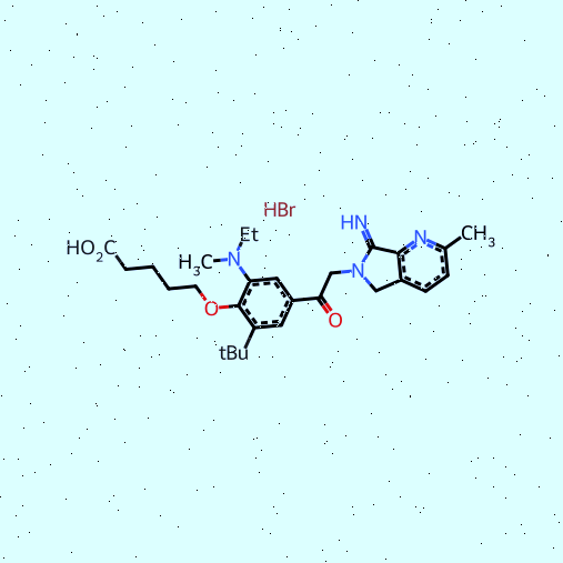 Br.CCN(C)c1cc(C(=O)CN2Cc3ccc(C)nc3C2=N)cc(C(C)(C)C)c1OCCCCC(=O)O